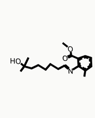 COC(=O)c1cccc(C)c1N=CCCCCCC(C)(C)O